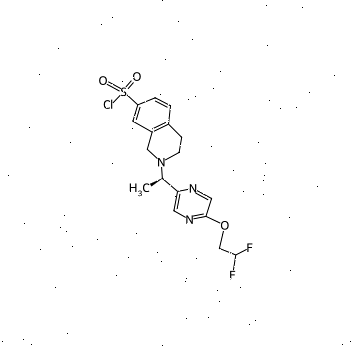 C[C@H](c1cnc(OCC(F)F)cn1)N1CCc2ccc(S(=O)(=O)Cl)cc2C1